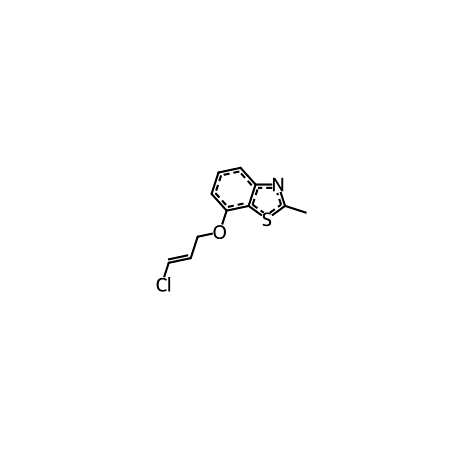 Cc1nc2cccc(OCC=CCl)c2s1